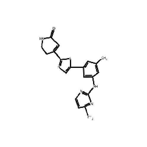 Cc1cc(Nc2nccc(C(F)(F)F)n2)cc(-c2cnc(C3=CC(=O)NCC3)s2)c1